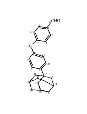 O=Cc1ccc(Oc2ccc(C34CC5CC(CC(C5)C3)C4)cc2)cc1